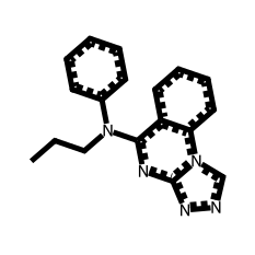 CCCN(c1ccccc1)c1nc2nncn2c2ccccc12